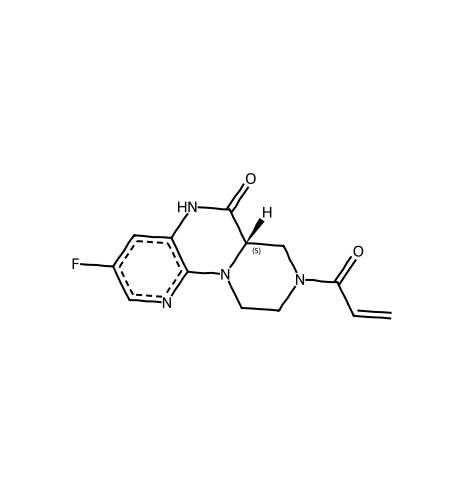 C=CC(=O)N1CCN2c3ncc(F)cc3NC(=O)[C@@H]2C1